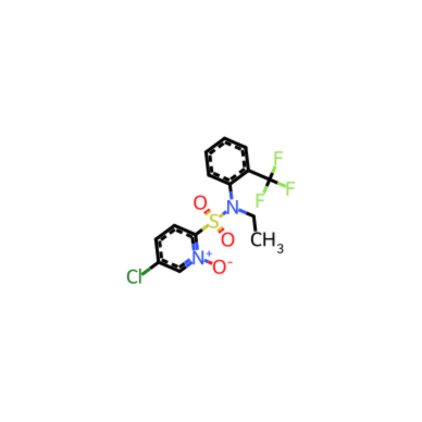 CCN(c1ccccc1C(F)(F)F)S(=O)(=O)c1ccc(Cl)c[n+]1[O-]